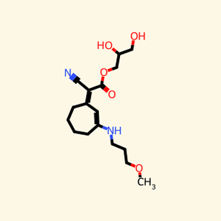 COCCCNC1=C/C(=C(/C#N)C(=O)OCC(O)CO)CCCC1